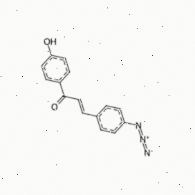 [N-]=[N+]=Nc1ccc(C=CC(=O)c2ccc(O)cc2)cc1